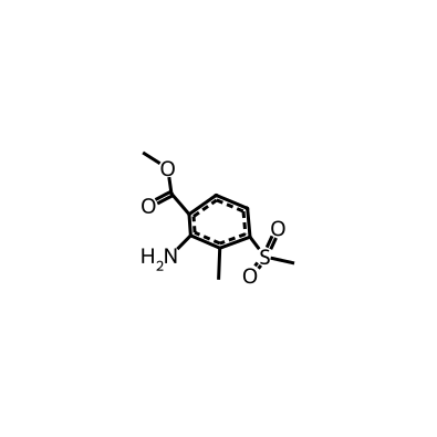 COC(=O)c1ccc(S(C)(=O)=O)c(C)c1N